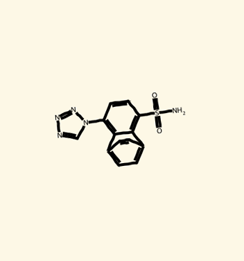 NS(=O)(=O)c1[c]cc(-n2cnnn2)c2c3ccc(cc3)c12